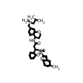 Cc1ccc2sc(S(=O)(=O)NC(CC(=O)NC3CCOc4cc(CN(C)CC(C)C)ccc43)c3ccccc3)cc2c1